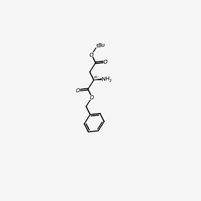 CC(C)(C)OC(=O)C[C@@H](N)C(=O)OCc1ccccc1